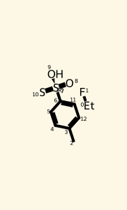 CCF.Cc1ccc([S@](=O)(O)=S)cc1